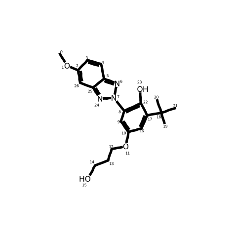 COc1ccc2nn(-c3cc(OCCCO)cc(C(C)(C)C)c3O)nc2c1